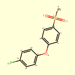 CC(C)S(=O)(=O)c1ccc(Oc2ccc(F)cc2)cc1